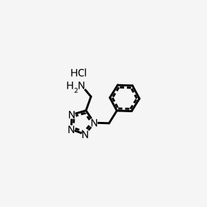 Cl.NCc1nnnn1Cc1ccccc1